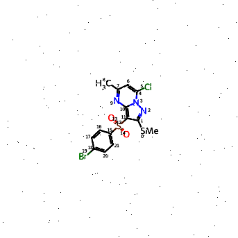 CSc1nn2c(Cl)cc(C)nc2c1S(=O)(=O)c1ccc(Br)cc1